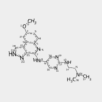 COc1ccc2nc(Nc3cnc(NCCN(C)C)nc3)c3n[nH]cc3c2c1